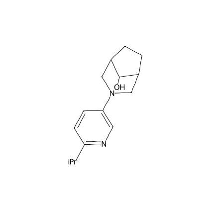 CC(C)c1ccc(N2CC3CCC(C2)C3O)cn1